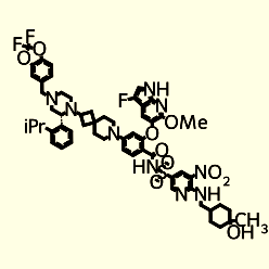 COc1nc2[nH]cc(F)c2cc1Oc1cc(N2CCC3(CC2)CC(N2CCN(Cc4ccc5c(c4)OC(F)(F)O5)C[C@H]2c2ccccc2C(C)C)C3)ccc1C(=O)NS(=O)(=O)c1cnc(NCC2CCC(C)(O)CC2)c([N+](=O)[O-])c1